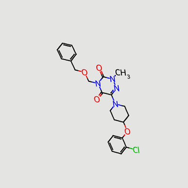 Cn1nc(N2CCC(Oc3ccccc3Cl)CC2)c(=O)n(COCc2ccccc2)c1=O